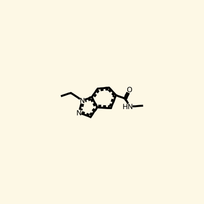 CCn1ncc2cc(C(=O)NC)ccc21